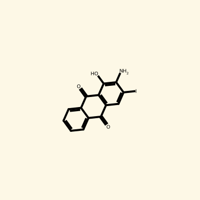 Nc1c(I)cc2c(c1O)C(=O)c1ccccc1C2=O